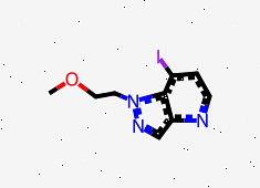 COCCn1ncc2nccc(I)c21